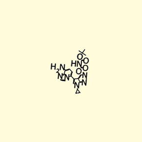 CC(C)(C)OC(=O)NC(=O)Oc1ncnc2c1c(-c1ccc(N)c3nccn13)cn2C1CC1